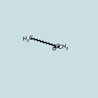 CCCCCCCC/C=C/CCCCCCCC(=O)OCC